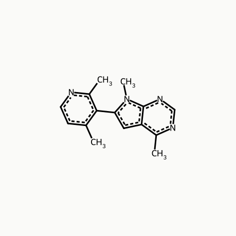 Cc1ccnc(C)c1-c1cc2c(C)ncnc2n1C